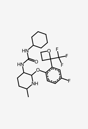 CC1CCC(NC(=O)NC2CCCCC2)C(Oc2ccc(F)cc2C2(C(F)(F)F)CCO2)N1